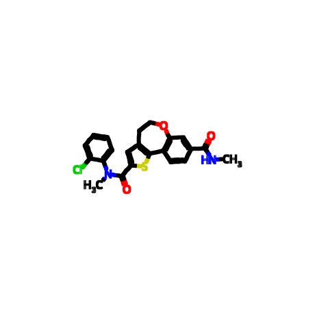 CNC(=O)c1ccc2c(c1)OCCc1cc(C(=O)N(C)c3ccccc3Cl)sc1-2